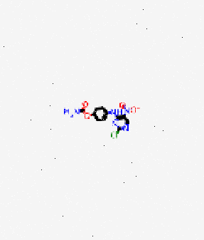 NC(=O)Oc1ccc(Nc2nc(Cl)ncc2[N+](=O)[O-])cc1